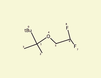 CC(C)(C)C(C)(C)OCC(F)F